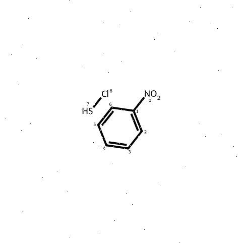 O=[N+]([O-])c1ccccc1.SCl